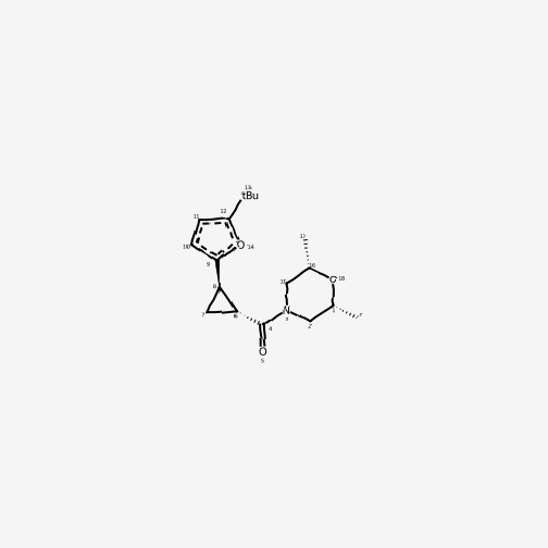 C[C@@H]1CN(C(=O)[C@@H]2C[C@H]2c2ccc(C(C)(C)C)o2)C[C@H](C)O1